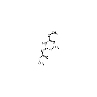 CCC(=O)N=C(NC(=O)OC)SC